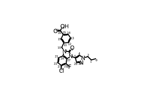 CCCn1cc(-n2c(=O)n(Cc3cccc(C(=O)O)c3)c3ccc(Cl)c(F)c32)cn1